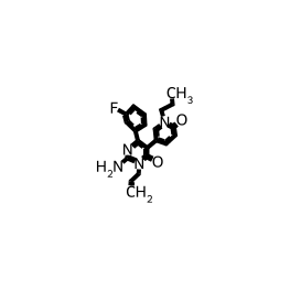 C=CCn1c(N)nc(-c2cccc(F)c2)c(-c2ccc(=O)n(CCC)c2)c1=O